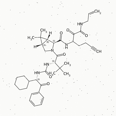 C#CCCC(NC(=O)[C@@H]1[C@@H]2[C@H](CN1C(=O)[C@@H](NC(=O)N[C@H](C(=O)c1ccccc1)C1CCCCC1)C(C)(C)C)C2(C)C)C(=O)C(=O)NCC=C